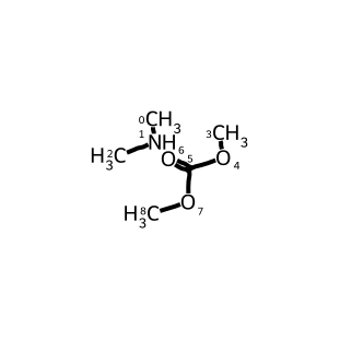 CNC.COC(=O)OC